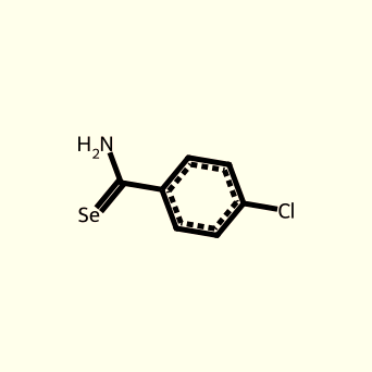 NC(=[Se])c1ccc(Cl)cc1